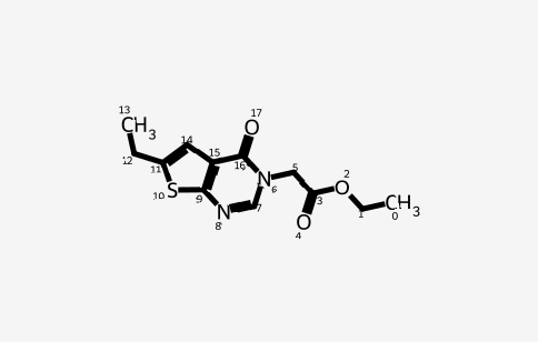 CCOC(=O)Cn1cnc2sc(CC)cc2c1=O